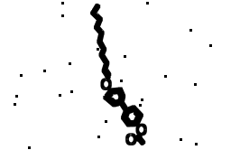 CCCCCCCCCC=COc1ccc(-c2ccc(OC(C)=O)cc2)cc1